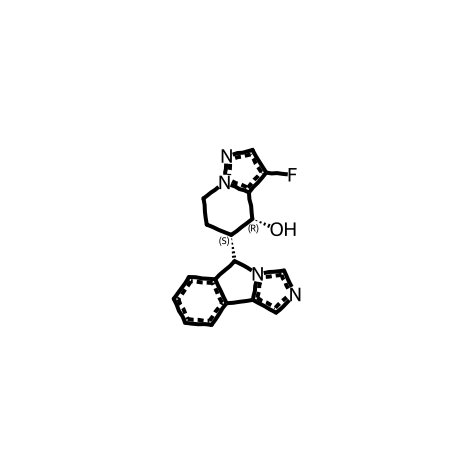 O[C@H]1c2c(F)cnn2CC[C@H]1C1c2ccccc2-c2cncn21